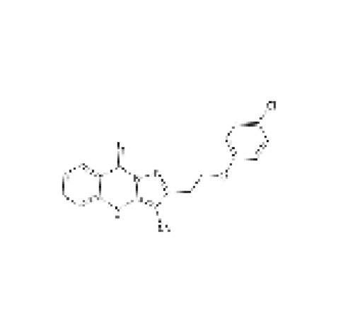 N#Cc1c(CCOc2ccc(Cl)cc2)nn2c(=O)c3ccccc3[nH]c12